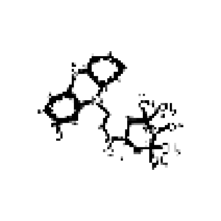 CN(CCN1c2ccccc2Sc2ccc(Cl)cc21)C1CC(C)(C)N([O])C(C)(C)C1